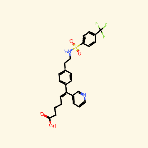 O=C(O)CCCC=C(c1ccc(CCNS(=O)(=O)c2ccc(C(F)(F)F)cc2)cc1)c1cccnc1